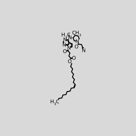 CCCCCCCC/C=C\CCCCCCCCOC(=O)CCC(=O)n1ccc2c(N(C)[C@H]3CN(C(=O)CC#N)CC[C@@H]3C)ncnc21